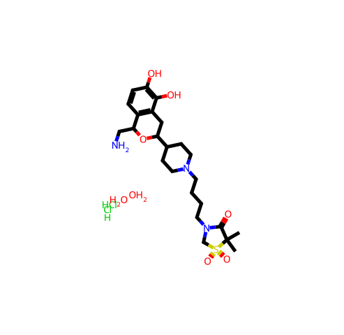 CC1(C)C(=O)N(CCCCN2CCC(C3Cc4c(ccc(O)c4O)C(CN)O3)CC2)CS1(=O)=O.Cl.Cl.O.O